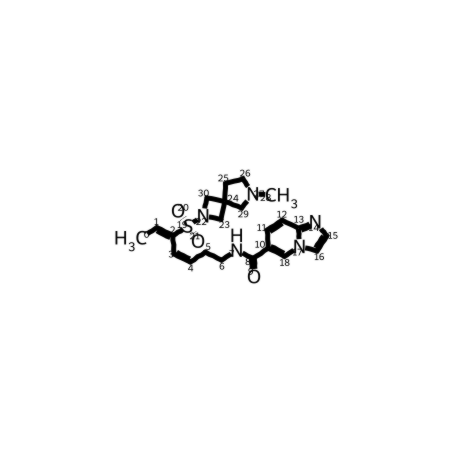 C/C=C(\C=C/CCNC(=O)c1ccc2nccn2c1)S(=O)(=O)N1CC2(CCN(C)C2)C1